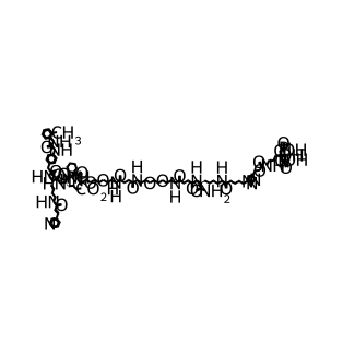 Cc1ccccc1NC(=O)Nc1ccc(CC(=O)N[C@@H](CCCCNC(=O)/C=C/c2cccnc2)C(=O)N[C@@H](CCCC(=O)O)C(=O)NC2(C(=O)NCCOCCOCCNC(=O)CCC(=O)NCCOCCOCCNC(=O)CCC(=O)N[C@@H](CCCCNC(=O)CCCCn3cc(COC(=O)NCCCC(O)(O[PH](=O)O)O[PH](=O)O)nn3)C(N)=O)CCCCC2)cc1